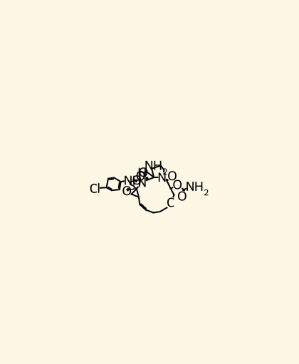 NC(=O)OC1CCCCCC=CC2CC2(S(=O)(=O)Nc2ccc(Cl)cc2)NC(=O)C2(C(N)=O)CCCN2C1=O